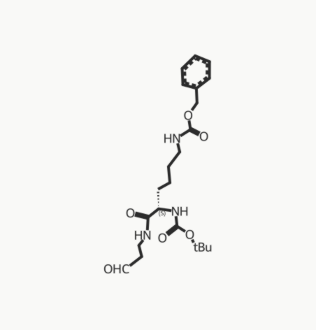 CC(C)(C)OC(=O)N[C@@H](CCCCNC(=O)OCc1ccccc1)C(=O)NCCC=O